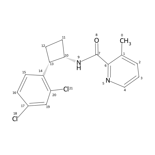 Cc1cccnc1C(=O)N[C@H]1CC[C@H]1c1ccc(Cl)cc1Cl